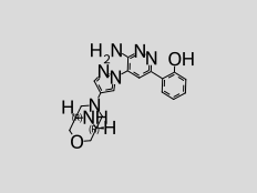 Nc1nnc(-c2ccccc2O)cc1-n1cc(N2C[C@@H]3COC[C@@H](C2)N3)cn1